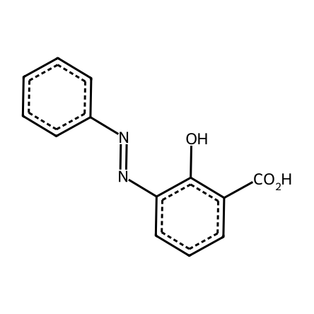 O=C(O)c1cccc(N=Nc2ccccc2)c1O